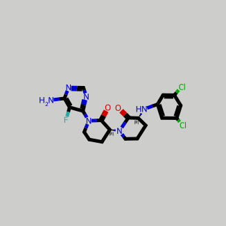 Nc1ncnc(N2CCC[C@@H](N3CCC[C@@H](Nc4cc(Cl)cc(Cl)c4)C3=O)C2=O)c1F